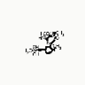 CN=S1(=O)C[C@@](C)(c2cc(C#C[Si](C)(C)C)ccc2F)N=C(NC(=O)O)C1(C)C